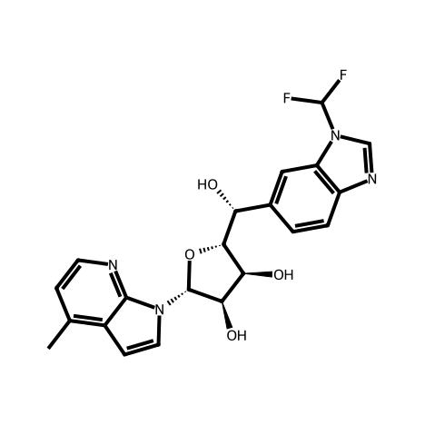 Cc1ccnc2c1ccn2[C@@H]1O[C@H]([C@H](O)c2ccc3ncn(C(F)F)c3c2)[C@@H](O)[C@H]1O